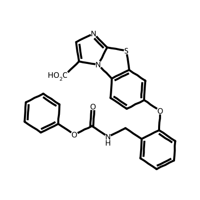 O=C(NCc1ccccc1Oc1ccc2c(c1)sc1ncc(C(=O)O)n12)Oc1ccccc1